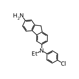 CCN(c1ccc(Cl)cc1)c1ccc2c(c1)-c1ccc(N)cc1C2